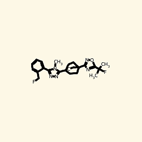 Cn1c(-c2ccccc2CF)nnc1C12CCC(c3noc(C(C)(C)F)n3)(CC1)CC2